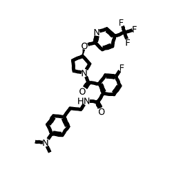 CN(C)c1ccc(CCNC(=O)c2ccc(F)cc2C(=O)N2CC[C@@H](Oc3ccc(C(F)(F)F)cn3)C2)cc1